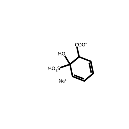 O=C([O-])C1C=CC=CC1(O)S(=O)(=O)O.[Na+]